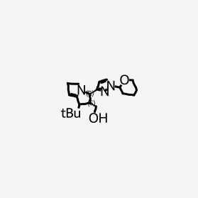 CC(C)(C)C1C2=CCCN2[C@@H](c2ccn(C3CCCCO3)n2)[C@H]1CO